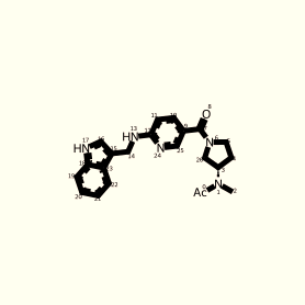 CC(=O)N(C)[C@H]1CCN(C(=O)c2ccc(NCc3c[nH]c4ccccc34)nc2)C1